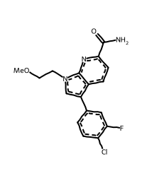 COCCn1cc(-c2ccc(Cl)c(F)c2)c2ccc(C(N)=O)nc21